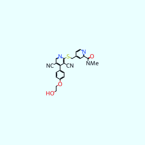 CNC(=O)c1cc(CSc2ncc(C#N)c(-c3ccc(OCCO)cc3)c2C#N)ccn1